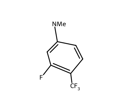 CNc1ccc(C(F)(F)F)c(F)c1